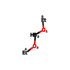 CCOBOCC